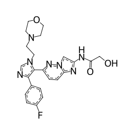 O=C(CO)Nc1cn2nc(-c3c(-c4ccc(F)cc4)ncn3CCN3CCOCC3)ccc2n1